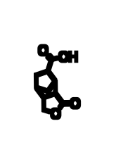 O=C(O)C1CC2CC1C1C(=O)OCC21